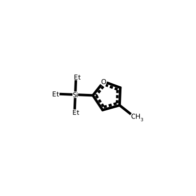 CC[Si](CC)(CC)c1cc(C)co1